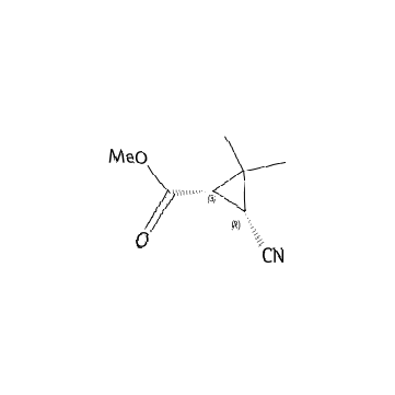 COC(=O)[C@H]1[C@@H](C#N)C1(C)C